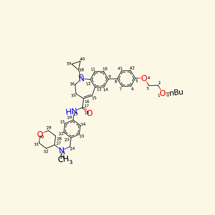 CCCCOCCOc1ccc(-c2ccc3c(c2)C=C(C(=O)Nc2ccc(CN(C)C4CCOCC4)cc2)CCN3C2CC2)cc1